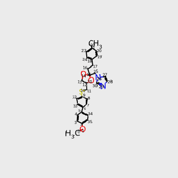 COc1ccc(-c2ccc(SCC3COC(CCc4ccc(C)cc4)(Cn4ccnc4)O3)cc2)cc1